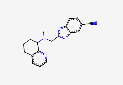 CN(Cc1nc2cc(C#N)ccc2[nH]1)C1CCCc2cccnc21